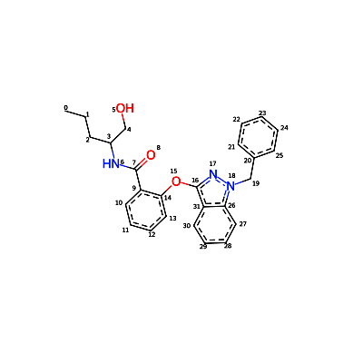 CCCC(CO)NC(=O)c1ccccc1Oc1nn(Cc2ccccc2)c2ccccc12